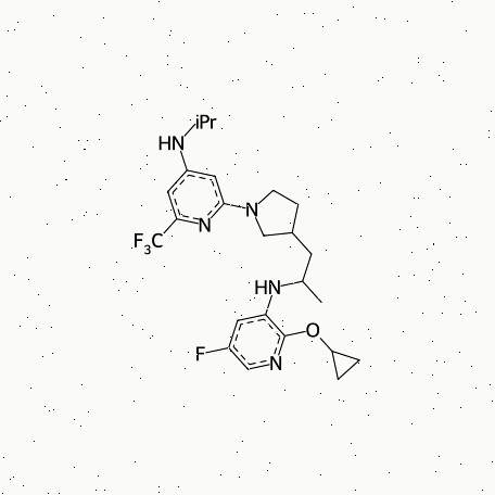 CC(C)Nc1cc(N2CCC(CC(C)Nc3cc(F)cnc3OC3CC3)C2)nc(C(F)(F)F)c1